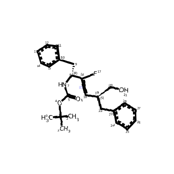 CC(C)(C)OC(=O)N[C@H](Cc1ccccc1)/C(F)=C/[C@@H](CO)Cc1ccccc1